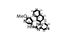 COc1ccc(NC2=N[N+]3(c4ccc5cccnc5c4)C=CN=CC3=N2)cn1